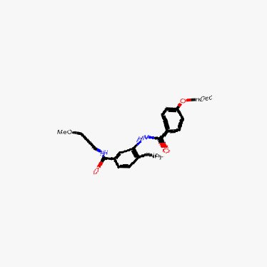 CCCCCCCCCCOc1ccc(C(=O)Nc2cc(C(=O)NCCOC)ccc2C(C)C)cc1